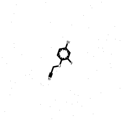 N#CCOc1ccc(Br)cc1F